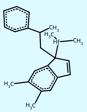 Cc1cc2c(cc1C)[C](CC(C)c1ccccc1)([Hf]([CH3])[CH3])C=C2